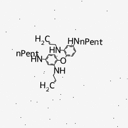 C=CCNc1cc(NCCCCC)ccc1Oc1ccc(NCCCCC)cc1NCC=C